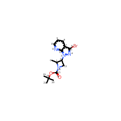 CC1C(n2nc(Br)c3cccnc32)CN1C(=O)OC(C)(C)C